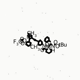 Cc1ccc(OS(=O)(=O)C(F)(F)F)c(-c2nn(C)cc2C#Cc2ccc(NC(=O)C3CCCCN3C(=O)[C@H](Cc3ccccc3)NC(=O)OC(C)(C)C)cc2)c1